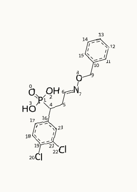 O=P(O)(O)C(C/C=N/OCc1ccccc1)c1ccc(Cl)c(Cl)c1